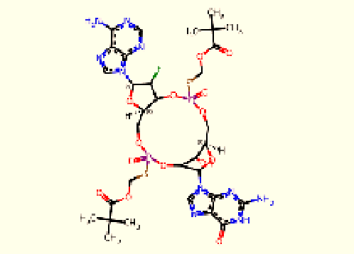 CC(C)(C)C(=O)OCSP1(=O)OC[C@H]2O[C@@H](n3cnc4c(N)ncnc43)C(F)C2OP(=O)(SCOC(=O)C(C)(C)C)OC[C@H]2OC(n3cnc4c(=O)[nH]c(N)nc43)C(O1)C2O